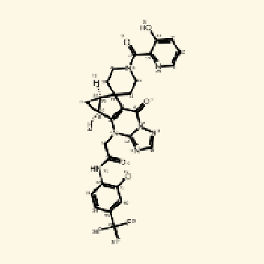 O=C(Cn1c2c(c(=O)n3ncnc13)C1(CCN(C(=O)c3ncccc3O)CC1)[C@@H]1C[C@H]21)Nc1ccc(C(F)(F)F)cc1Cl